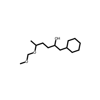 COCOC(C)CCC(O)CC1CCCCC1